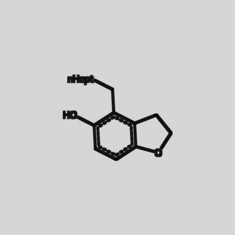 CCCCCCCCc1c(O)ccc2c1CCO2